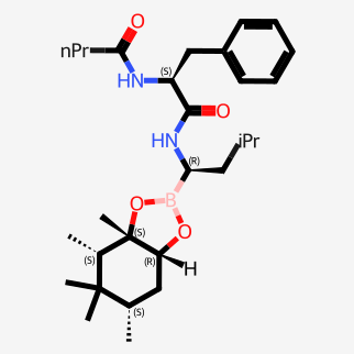 CCCC(=O)N[C@@H](Cc1ccccc1)C(=O)N[C@@H](CC(C)C)B1O[C@@H]2C[C@H](C)C(C)(C)[C@H](C)[C@]2(C)O1